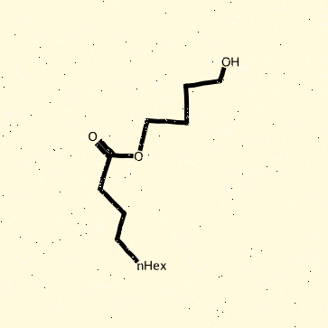 CCCCCCCCCC(=O)OCCCCO